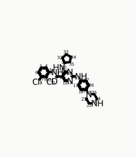 O=C(Nc1cccc(Cl)c1Cl)c1cnc(Nc2ccc(N3CCNCC3)cc2)nc1NC1CCCC1